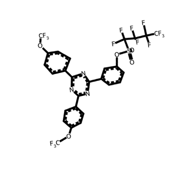 O=S(=O)(Oc1cccc(-c2nc(-c3ccc(OC(F)(F)F)cc3)nc(-c3ccc(OC(F)(F)F)cc3)n2)c1)C(F)(F)C(F)(F)C(F)(F)C(F)(F)F